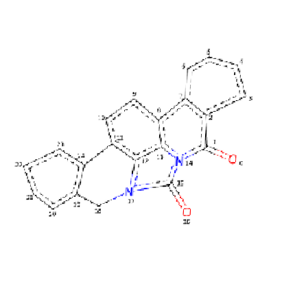 O=c1c2ccccc2c2ccc3c4c2n1c(=O)n4Cc1ccccc1-3